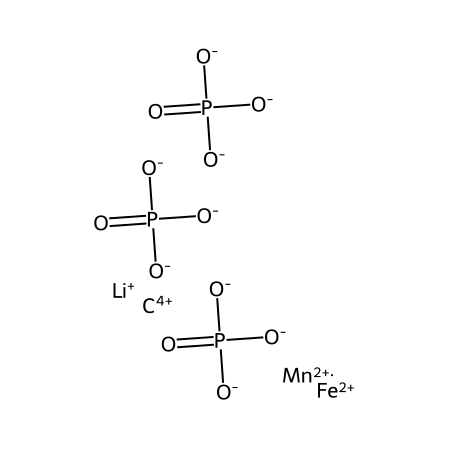 O=P([O-])([O-])[O-].O=P([O-])([O-])[O-].O=P([O-])([O-])[O-].[C+4].[Fe+2].[Li+].[Mn+2]